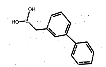 OB(O)Cc1cccc(-c2ccccc2)c1